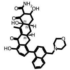 CC1=C2C(=O)c3c(O)ccc(-c4ccc(CN5CCOCC5)c5ccccc45)c3C[C@H]2C[C@H]2CC(O)C(C(N)=O)C(=O)[C@@]12O